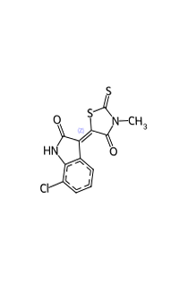 CN1C(=O)/C(=C2/C(=O)Nc3c(Cl)cccc32)SC1=S